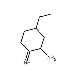 N=C1CCC(CI)CC1N